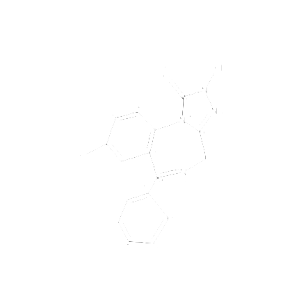 Cn1nc2n(c1=O)-c1ccc(Br)cc1C(c1ccccc1)=NC2